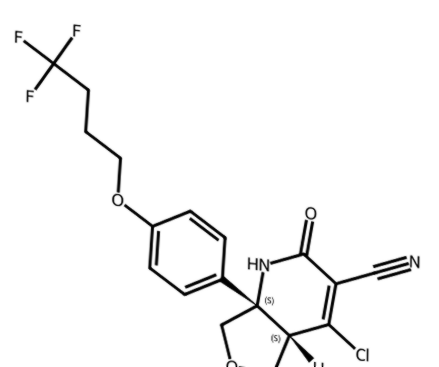 N#CC1=C(Cl)[C@@H]2COC[C@]2(c2ccc(OCCCC(F)(F)F)cc2)NC1=O